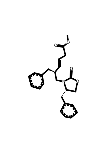 COC(=O)C/C=C/[C@H](Cc1ccccc1)CN1C(=O)OC[C@@H]1Cc1ccccc1